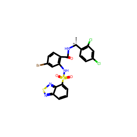 C[C@@H](NC(=O)c1ccc(Br)cc1NS(=O)(=O)c1cccc2nsnc12)c1ccc(Cl)cc1Cl